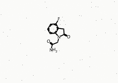 NC(=O)CN1C(=O)Cc2c(F)cccc21